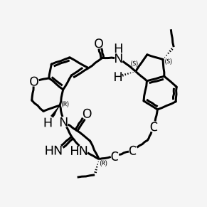 CC[C@H]1C[C@@H]2NC(=O)c3ccc4c(c3)[C@@H](CCO4)N3C(=N)N[C@](CC)(CCCCc4ccc1c2c4)CC3=O